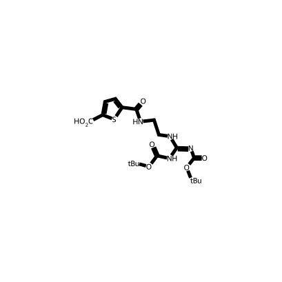 CC(C)(C)OC(=O)N=C(NCCNC(=O)c1ccc(C(=O)O)s1)NC(=O)OC(C)(C)C